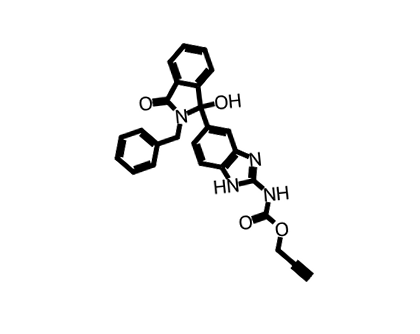 C#CCOC(=O)Nc1nc2cc(C3(O)c4ccccc4C(=O)N3Cc3ccccc3)ccc2[nH]1